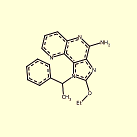 CCOc1nc2c(N)nc3cccnc3c2n1C(C)c1ccccc1